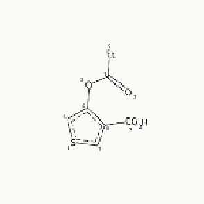 CCC(=O)Oc1cscc1C(=O)O